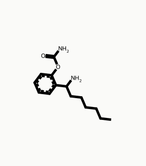 CCCCCCC(N)c1ccccc1OC(N)=O